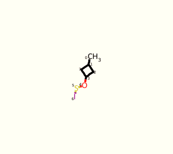 CC1CC(OSI)C1